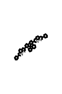 c1ccc(-c2cnc3c(ccc4cc(-c5ccc6c(c5)C(c5ccccc5)(c5ccccc5)c5cc(-c7cnc8c(ccc9cc(-c%10ccccc%10)cnc98)c7)ccc5-6)cnc43)c2)cc1